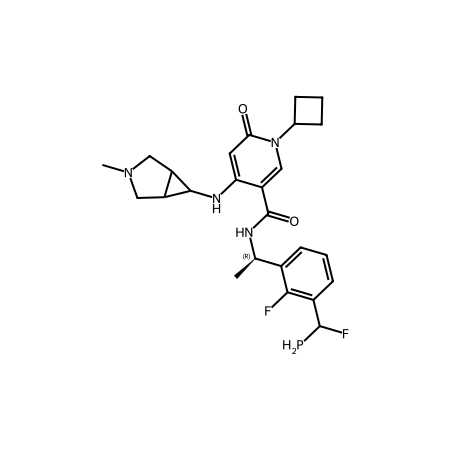 C[C@@H](NC(=O)c1cn(C2CCC2)c(=O)cc1NC1C2CN(C)CC21)c1cccc(C(F)P)c1F